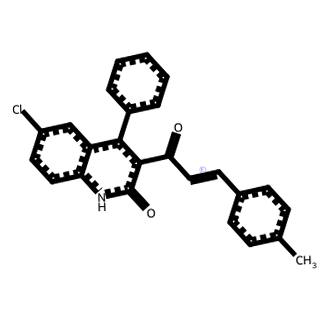 Cc1ccc(/C=C/C(=O)c2c(-c3ccccc3)c3cc(Cl)ccc3[nH]c2=O)cc1